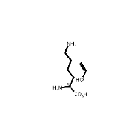 C=CO.NCCCC[C@H](N)C(=O)O